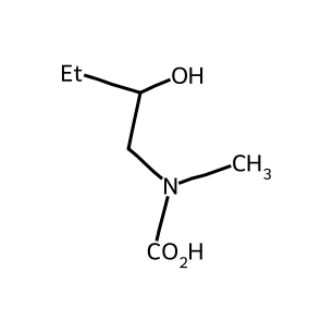 CCC(O)CN(C)C(=O)O